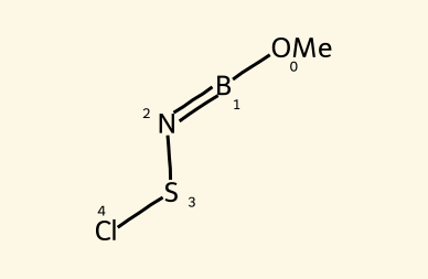 COB=NSCl